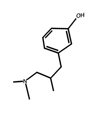 CC(Cc1cccc(O)c1)CN(C)C